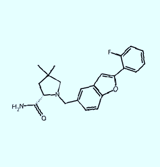 CC1(C)C[C@@H](C(N)=O)N(Cc2ccc3oc(-c4ccccc4F)cc3c2)C1